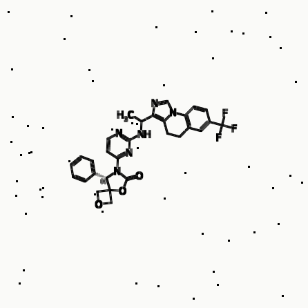 CC(Nc1nccc(N2C(=O)OC3(COC3)[C@@H]2c2ccccc2)n1)c1ncn2c1CCc1cc(C(F)(F)F)ccc1-2